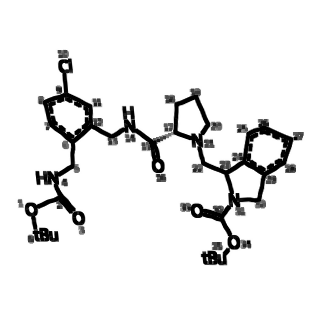 CC(C)(C)OC(=O)NCc1ccc(Cl)cc1CNC(=O)[C@@H]1CCCN1CC1c2ccccc2CN1C(=O)OC(C)(C)C